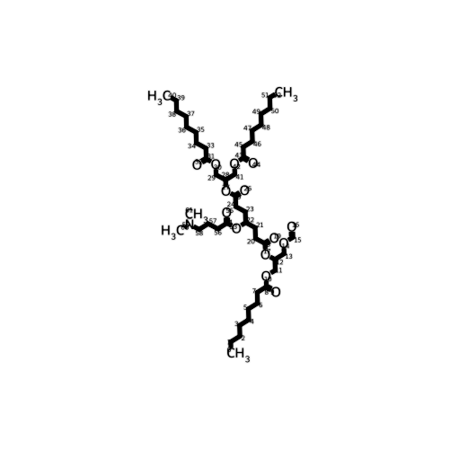 CCCCCCCCC(=O)OCC(COC=O)OC(=O)CCC(CCC(=O)OC(COC(=O)CCCCCCCC)COC(=O)CCCCCCCC)OC(=O)CCCN(C)C